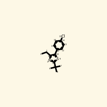 CCc1nc(C(C)(C)C)sc1-c1ccc(Cl)cc1